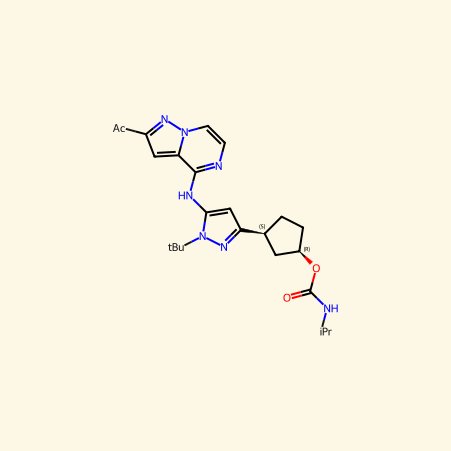 CC(=O)c1cc2c(Nc3cc([C@H]4CC[C@@H](OC(=O)NC(C)C)C4)nn3C(C)(C)C)nccn2n1